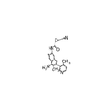 Cc1ccncc1-c1cc2cc(NC(=O)[C@@H]3CC3C#N)ncc2c(N)c1C